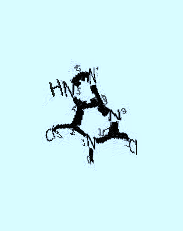 CN1C(Cl)=c2[nH]cnc2=NC1Cl